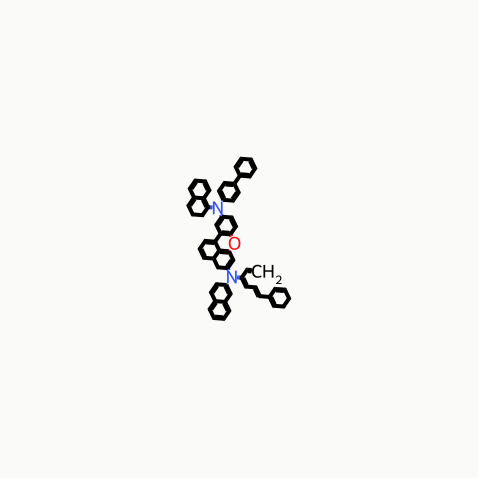 C=C/C(=C\C=C\C1=CCCC=C1)N(C1=CC2=C3C(=CC=CC3C1)c1cc(N(C3=c4ccccc4=CCC3)c3ccc(-c4ccccc4)cc3)ccc1O2)c1ccc2ccccc2c1